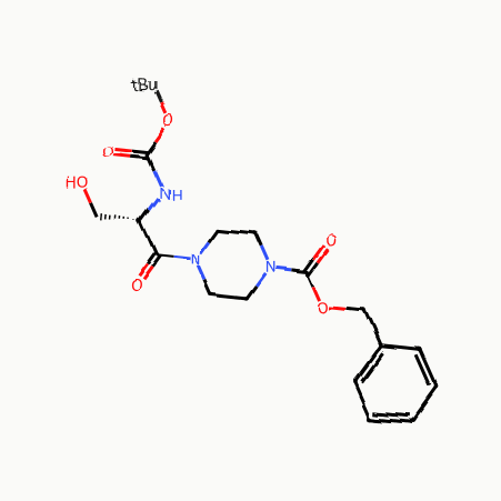 CC(C)(C)OC(=O)N[C@@H](CO)C(=O)N1CCN(C(=O)OCc2ccccc2)CC1